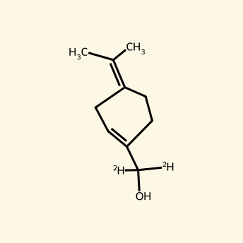 [2H]C([2H])(O)C1=CCC(=C(C)C)CC1